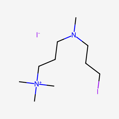 CN(CCCI)CCC[N+](C)(C)C.[I-]